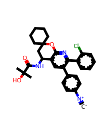 [C-]#[N+]c1ccc(-c2cc3c(nc2-c2ccccc2Cl)OC2(CCCCC2)CC3NC(=O)C(C)(C)O)cc1